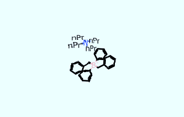 CCC[N+](CCC)(CCC)CCC.c1ccc(C[B-](Cc2ccccc2)(c2ccccc2)c2ccccc2)cc1